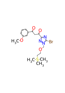 COc1cccc(C(=O)CC(=O)c2nc(Br)n(COCCS(C)(C)C)n2)c1